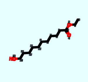 CCOC(=O)CCCCCCCCCCO